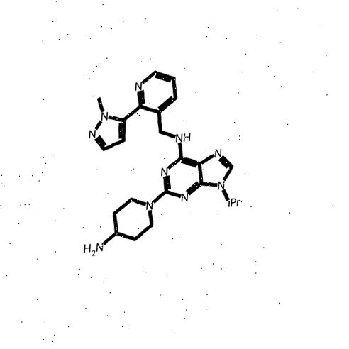 CC(C)n1cnc2c(NCc3cccnc3-c3ccnn3C)nc(N3CCC(N)CC3)nc21